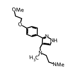 CNCCN(C)Cc1c[nH]nc1-c1ccc(OCCOC)cc1